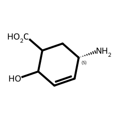 N[C@@H]1C=CC(O)C(C(=O)O)C1